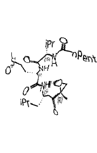 CCCCCC(=O)N[C@H](C(=O)N[C@@H](CC[S+](C)[O-])C(=O)N[C@@H](CC(C)C)C(=O)[C@@]1(C)CO1)C(C)C